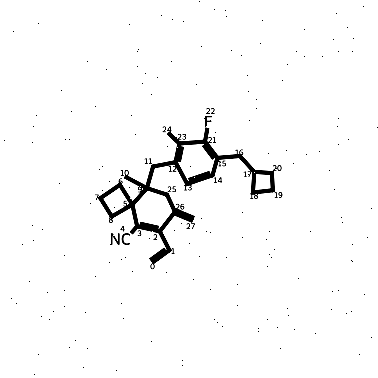 C=CC1=C(C#N)C2(CCC2)C(C)(Cc2ccc(CC3CCC3)c(F)c2C)CC1=C